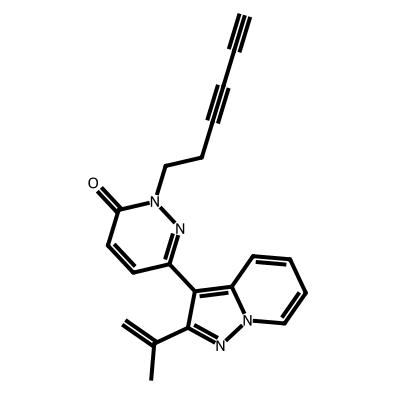 C#CC#CCCn1nc(-c2c(C(=C)C)nn3ccccc23)ccc1=O